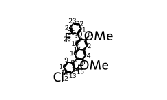 COc1cc2cc(OC)c(-c3ccc(Cl)cc3F)cc2cc1-c1ccccc1F